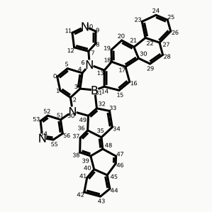 c1cc2c3c(c1)N(c1ccncc1)c1c(ccc4c1ccc1c5ccccc5ccc41)B3c1ccc3c(ccc4c5ccccc5ccc34)c1N2c1ccncc1